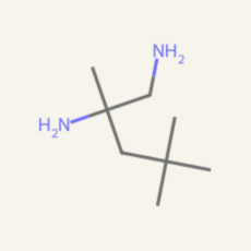 CC(C)(C)CC(C)(N)CN